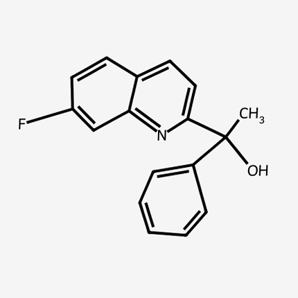 CC(O)(c1ccccc1)c1ccc2ccc(F)cc2n1